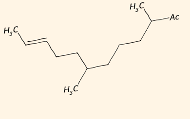 CC=CCCC(C)CCCC(C)C(C)=O